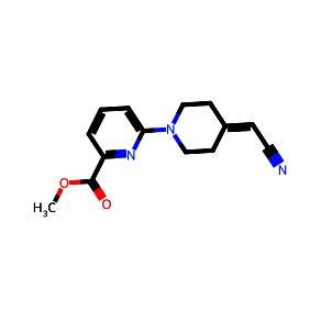 COC(=O)c1cccc(N2CCC(=CC#N)CC2)n1